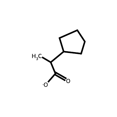 CC(C([O])=O)C1CCCC1